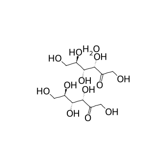 O.O=C(CO)[C@@H](O)[C@H](O)[C@H](O)CO.O=C(CO)[C@@H](O)[C@H](O)[C@H](O)CO